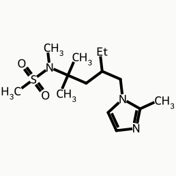 CCC(Cn1ccnc1C)CC(C)(C)N(C)S(C)(=O)=O